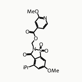 COc1cc(C(C)C)c2c(c1)S(=O)(=O)N(COC(=O)c1ccnc(OC)c1)C2=O